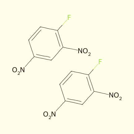 O=[N+]([O-])c1ccc(F)c([N+](=O)[O-])c1.O=[N+]([O-])c1ccc(F)c([N+](=O)[O-])c1